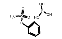 O=S(=O)(Oc1ccccc1)C(F)(F)F.OB(O)O